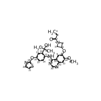 C=CC(=O)N1CC(Oc2cc3c(Nc4ccc(Oc5nccs5)cc4C(C)(C)O)ncnc3cc2OC)C1